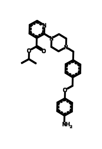 CC(C)OC(=O)c1cccnc1N1CCN(Cc2ccc(COc3ccc(N)cc3)cc2)CC1